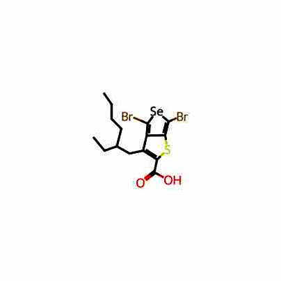 CCCCC(CC)Cc1c(C(=O)O)sc2c(Br)[se]c(Br)c12